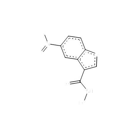 CNC(=O)c1csc2ccc([N+](=O)[O-])cc12